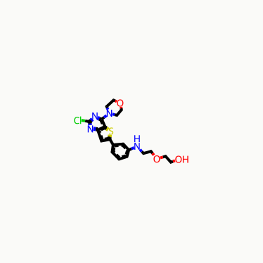 OCCOCCNc1cccc(-c2cc3nc(Cl)nc(N4CCOCC4)c3s2)c1